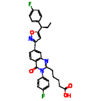 CC[C@H](c1ccc(F)cc1)c1cc(-c2ccc3c(=O)n(-c4ccc(F)cc4)c(CCCCC(=O)O)nc3c2)no1